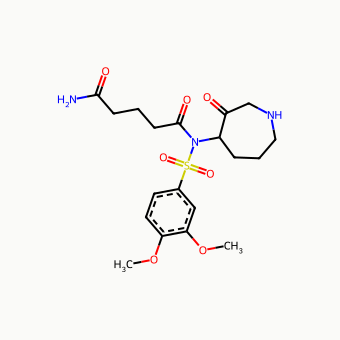 COc1ccc(S(=O)(=O)N(C(=O)CCCC(N)=O)C2CCCNCC2=O)cc1OC